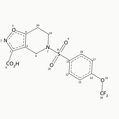 O=C(O)c1noc2c1CN(S(=O)(=O)c1ccc(OC(F)(F)F)cc1)CC2